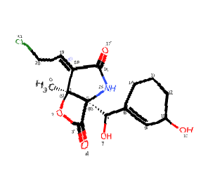 C[C@@]12OC(=O)[C@]1(C(O)C1=CC(O)CCC1)NC(=O)/C2=C/CCl